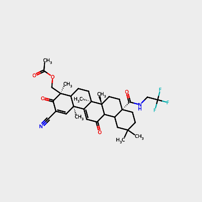 CC(=O)OC[C@]1(C)C(=O)C(C#N)=C[C@]2(C)C3=CC(=O)C4C5CC(C)(C)CC[C@]5(C(=O)NCC(F)(F)F)CC[C@@]4(C)[C@]3(C)CCC21